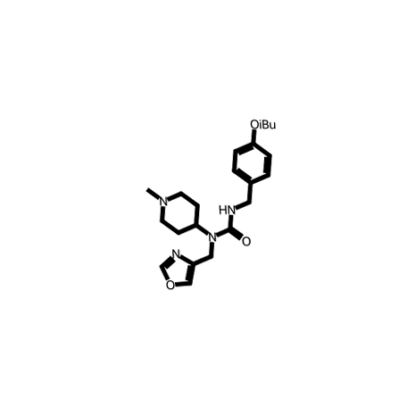 CC(C)COc1ccc(CNC(=O)N(Cc2cocn2)C2CCN(C)CC2)cc1